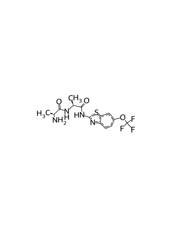 C[C@H](N)C(=O)N[C@@H](C)C(=O)Nc1nc2ccc(OC(F)(F)F)cc2s1